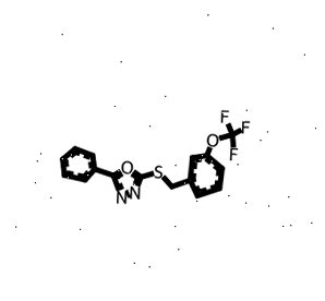 FC(F)(F)Oc1cccc(CSc2nnc(-c3ccccc3)o2)c1